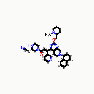 CN1CCCC[C@H]1COc1nc2c(c(/C(=C/C(=O)N3CCN[C@@H](CC#N)C3)c3cccnc3)n1)CCN(c1cccc3ccccc13)C2